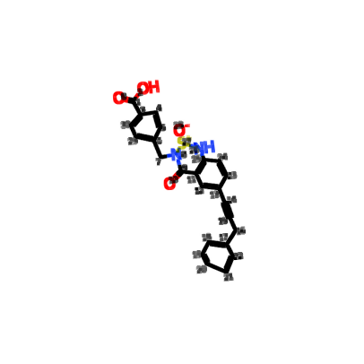 O=C(O)c1ccc(CN2C(=O)c3cc(C#CCc4ccccc4)ccc3N[S+]2[O-])cc1